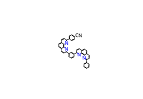 N#Cc1ccc(-c2ccc3ccc4ccc(-c5cccc(-c6ccc7ccc8ccc(-c9ccccc9)nc8c7n6)c5)nc4c3n2)cc1